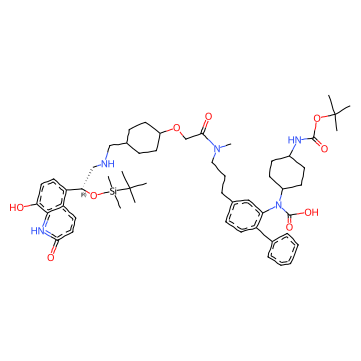 CN(CCCc1ccc(-c2ccccc2)c(N(C(=O)O)C2CCC(NC(=O)OC(C)(C)C)CC2)c1)C(=O)COC1CCC(CNC[C@H](O[Si](C)(C)C(C)(C)C)c2ccc(O)c3[nH]c(=O)ccc23)CC1